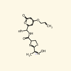 C=CCOc1cc(C(CCC)NC(=O)C2CSC(/C(C)=N\O)=N2)oc(=O)c1